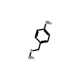 CCCSCc1ccc(C(C)(C)C)cc1